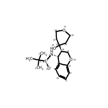 CC(C)(C)[S@+]([O-])N[C@H]1c2ccccc2OC[C@@H]1C1(O)CCOCC1